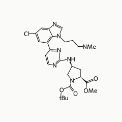 CNCCCn1cnc2cc(Cl)cc(-c3ccnc(N[C@H]4C[C@@H](C(=O)OC)N(C(=O)OC(C)(C)C)C4)n3)c21